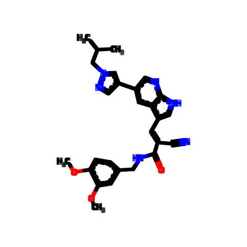 COc1ccc(CNC(=O)/C(C#N)=C/c2c[nH]c3ncc(-c4cnn(CC(C)C)c4)cc23)cc1OC